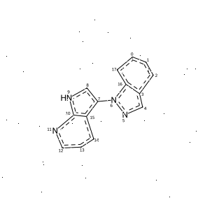 [c]1ccc2cnn(-c3c[nH]c4ncccc34)c2c1